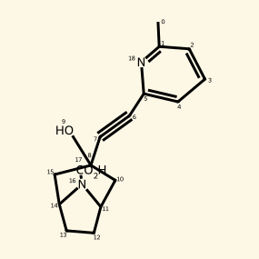 Cc1cccc(C#CC2(O)CC3CCC(C2)N3C(=O)O)n1